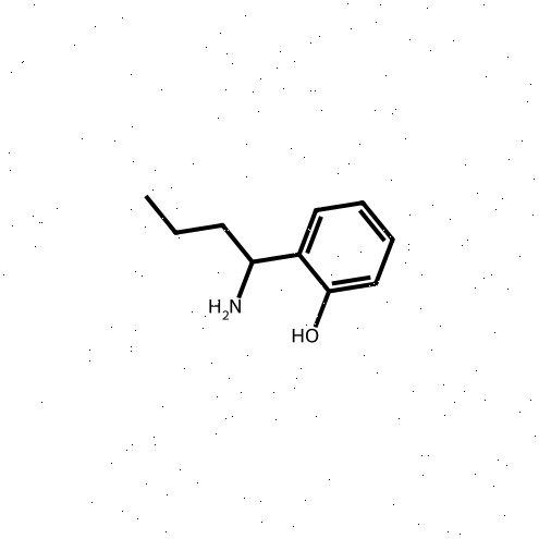 CCCC(N)c1ccccc1O